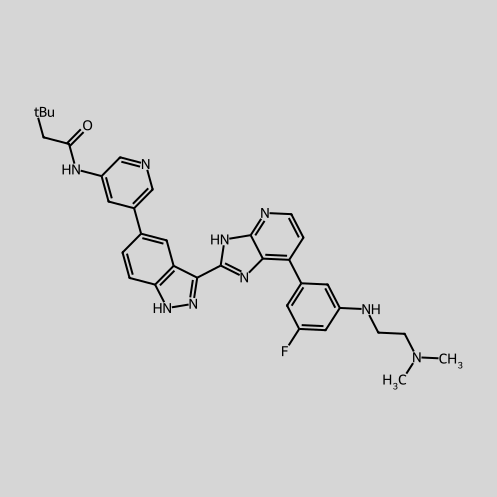 CN(C)CCNc1cc(F)cc(-c2ccnc3[nH]c(-c4n[nH]c5ccc(-c6cncc(NC(=O)CC(C)(C)C)c6)cc45)nc23)c1